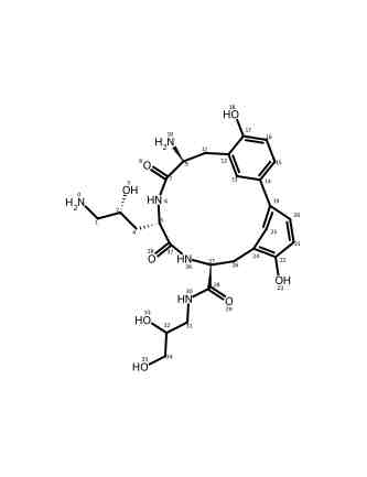 NC[C@H](O)C[C@@H]1NC(=O)[C@@H](N)Cc2cc(ccc2O)-c2ccc(O)c(c2)C[C@@H](C(=O)NCC(O)CO)NC1=O